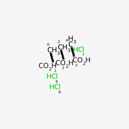 CC(=O)O.CC(=O)O.CC(=O)O.Cl.Cl.Cl